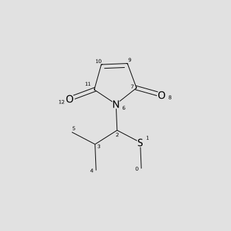 CSC(C(C)C)N1C(=O)C=CC1=O